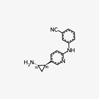 N#Cc1cccc(Nc2ccc([C@H]3C[C@@H]3N)cn2)c1